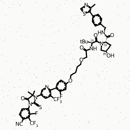 Cc1ncsc1-c1ccc(CNC(=O)[C@@H]2C[C@@H](O)CN2C(=O)[C@@H](NC(=O)COCCCCOc2ccc(-c3ncc(N4C(=S)N(c5ccc(C#N)c(C(F)(F)F)c5F)C(=O)C4(C)C)cc3C(F)(F)F)c(F)c2)C(C)(C)C)cc1